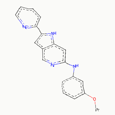 CC(C)Oc1cccc(Nc2cc3[nH]c(-c4ccccn4)cc3cn2)c1